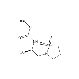 CC(C)(C)OC(=O)N[C@@H](CN1CCCS1(=O)=O)C(C)(C)C